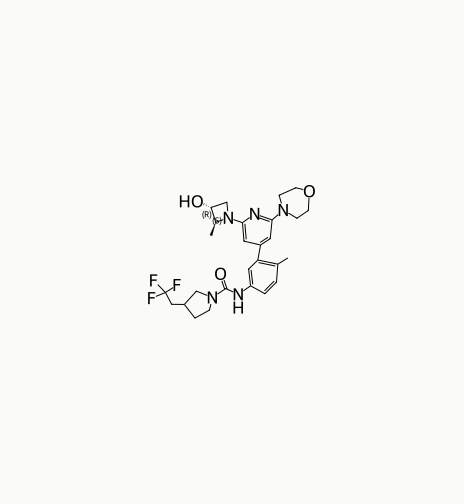 Cc1ccc(NC(=O)N2CCC(CC(F)(F)F)C2)cc1-c1cc(N2CCOCC2)nc(N2C[C@@H](O)[C@@H]2C)c1